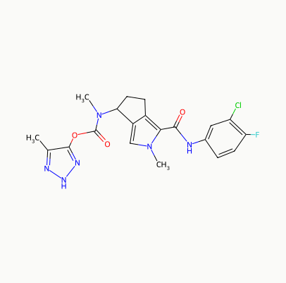 Cc1n[nH]nc1OC(=O)N(C)C1CCc2c1cn(C)c2C(=O)Nc1ccc(F)c(Cl)c1